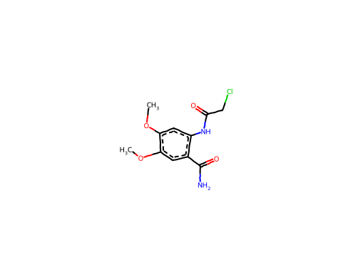 COc1cc(NC(=O)CCl)c(C(N)=O)cc1OC